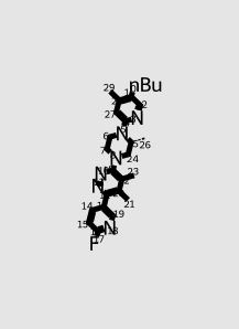 CCCCc1cnc(N2CCN(c3nnc(-c4ccc(F)nc4)c(C)c3C)C[C@H]2C)cc1C